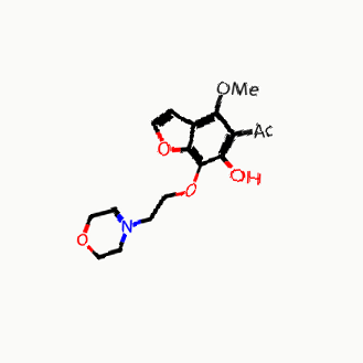 COc1c(C(C)=O)c(O)c(OCCN2CCOCC2)c2occc12